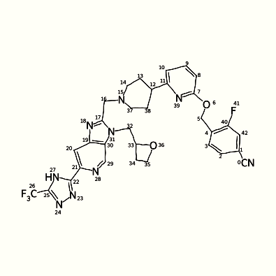 N#Cc1ccc(COc2cccc(C3CCN(Cc4nc5cc(-c6nnc(C(F)(F)F)[nH]6)ncc5n4CC4CCO4)CC3)n2)c(F)c1